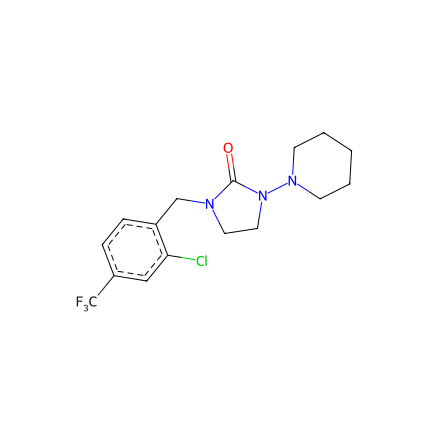 O=C1N(Cc2ccc(C(F)(F)F)cc2Cl)CCN1N1CCCCC1